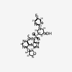 COc1ncnc(OC)c1-n1c(NS(=O)(=O)[C@@H]2C[C@H](O)CN(c3ncc(F)cn3)C2)nnc1[C@H]1CCCO1